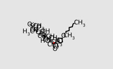 C1CCOC1.CC(C)(C)O.CC(C)=O.CCCCCCC.CCO.CN(C)C=O.C[S+](C)[O-].O=C1CCCC1